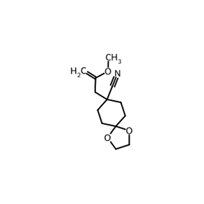 C=C(CC1(C#N)CCC2(CC1)OCCO2)OC